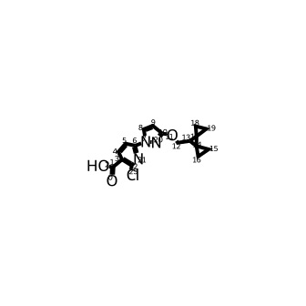 O=C(O)c1ccc(-n2ccc(OCC3C4(CC4)C34CC4)n2)nc1Cl